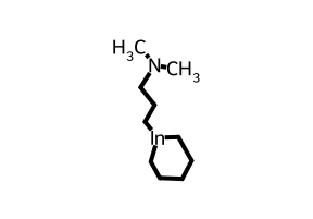 CN(C)CC[CH2][In]1[CH2]CCC[CH2]1